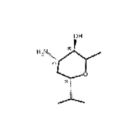 CC(C)[C@@H]1C[C@H](N)[C@@H](O)C(C)O1